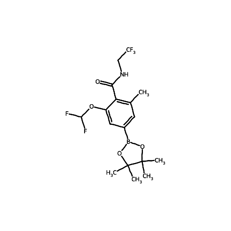 Cc1cc(B2OC(C)(C)C(C)(C)O2)cc(OC(F)F)c1C(=O)NCC(F)(F)F